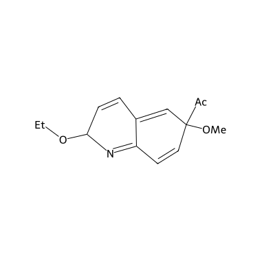 CCOC1C=CC2=CC(OC)(C(C)=O)C=CC2=N1